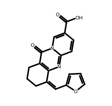 O=C(O)c1ccc2nc3c(c(=O)n2c1)CCC/C3=C/c1ccco1